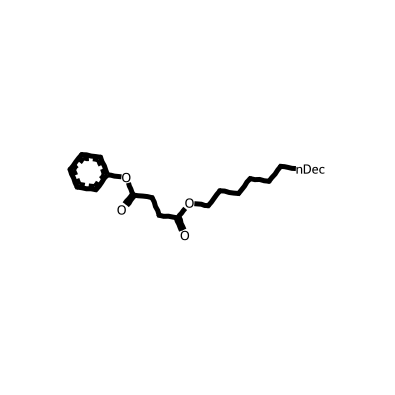 CCCCCCCCCCCCCCCCOC(=O)CCC(=O)Oc1ccccc1